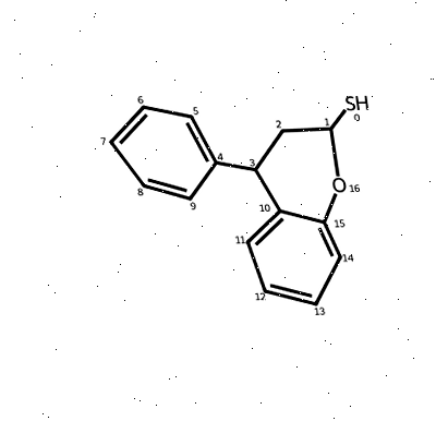 SC1CC(c2ccccc2)c2ccccc2O1